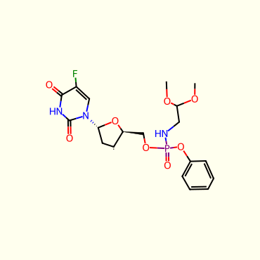 COC(CNP(=O)(OC[C@H]1[CH]C[C@H](n2cc(F)c(=O)[nH]c2=O)O1)Oc1ccccc1)OC